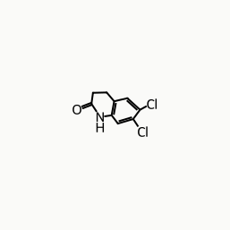 O=C1CCc2cc(Cl)c(Cl)cc2N1